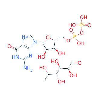 C[C@H](O)[C@@H](O)[C@@H](O)[C@H](O)C=O.Nc1nc2c(ncn2[C@@H]2O[C@H](COP(=O)(O)OP(=O)(O)O)[C@@H](O)[C@H]2O)c(=O)[nH]1